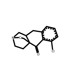 O=C1c2c(Cl)cccc2CC2CN3CCC12CC3